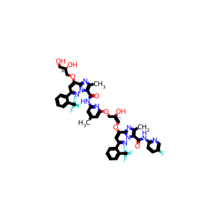 Cc1cc(NC(=O)c2c(C)nc3c(OC[C@H](O)CO)cc(-c4ccccc4C(F)(F)F)nn23)nc(OC/C(O)=C\Oc2cc(-c3ccccc3C(F)(F)F)nn3c(C(=O)Nc4ccc(F)cn4)c(C)nc23)c1